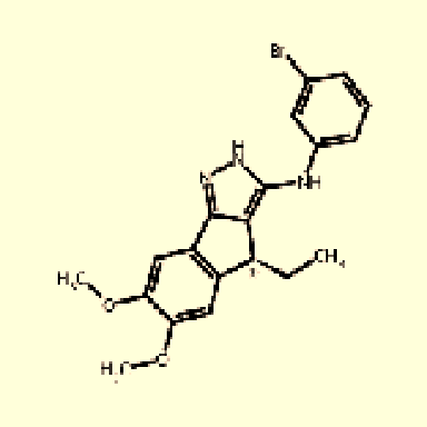 CC[C@H]1c2cc(OC)c(OC)cc2-c2n[nH]c(Nc3cccc(Br)c3)c21